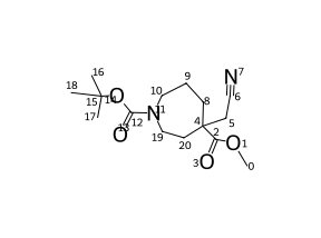 COC(=O)C1(CC#N)CCCN(C(=O)OC(C)(C)C)CC1